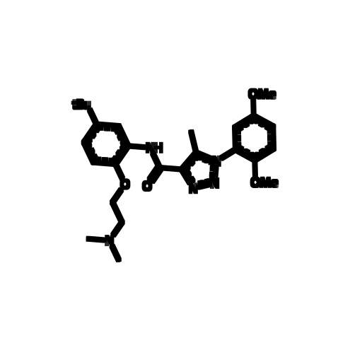 COc1ccc(OC)c(-n2nnc(C(=O)Nc3cc(C(C)(C)C)ccc3OCCN(C)C)c2C)c1